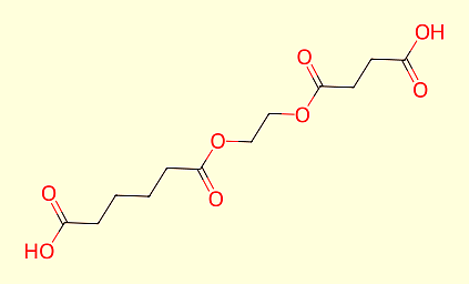 O=C(O)CCCCC(=O)OCCOC(=O)CCC(=O)O